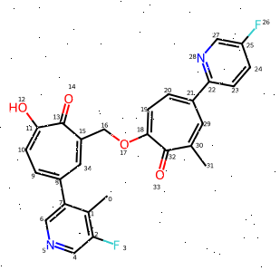 Cc1c(F)cncc1-c1ccc(O)c(=O)c(COc2ccc(-c3ccc(F)cn3)cc(C)c2=O)c1